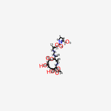 COC[C@H]1CCCN1C(=O)OC[C@H](C)/C=C/C=C(\C)[C@H]1OC(=O)C[C@H](O)CC[C@@](C)(O)[C@@H](OC(C)=O)/C=C/[C@@H]1C